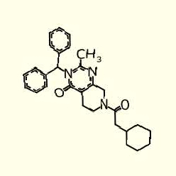 Cc1nc2c(c(=O)n1C(c1ccccc1)c1ccccc1)CCN(C(=O)CC1CCCCC1)C2